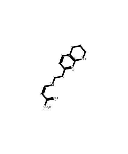 N=C(/C=C\NCCc1ccc2c(n1)NCCC2)C(=O)O